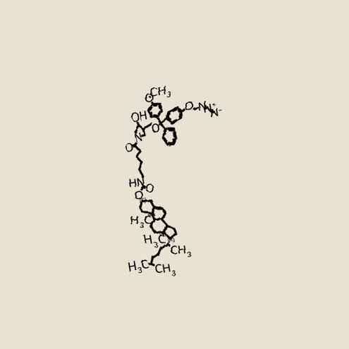 COc1ccc(C(OCC2CN(C(=O)CCCCCNC(=O)O[C@H]3CC[C@@]4(C)C(=CCC5C4CC[C@@]4(C)C5CC[C@@H]4C(C)CCCC(C)C)C3)CC2O)(c2ccccc2)c2ccc(OCN=[N+]=[N-])cc2)cc1